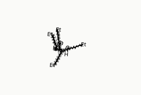 CC/C=C/CCCCCCCC(=O)NCCN1CC(C(COC(=O)CCCCCCC/C=C/CC)N2CCN=C2CCCCCCC/C=C/CC)N=C1CCCCCCC/C=C/CC